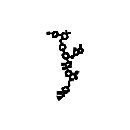 CC1(C)CCC(CN2CCN(c3ccc(C(=O)NS(=O)(=O)c4ccc(NCCN5CC[SH](O)(=NC6CC6)CC5)c([N+](=O)[O-])c4)c(Oc4cnc5[nH]ccc5c4)c3)CC2)=C(c2ccc(Cl)cc2)C1